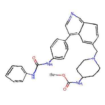 CC(C)(C)OC(=O)NC1CCN(Cc2ccc3cncc(-c4ccc(NC(=O)Nc5ccccc5)cc4)c3c2)CC1